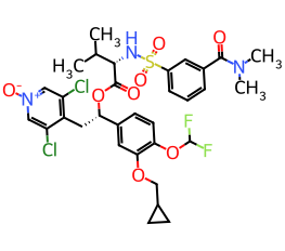 CC(C)[C@H](NS(=O)(=O)c1cccc(C(=O)N(C)C)c1)C(=O)O[C@@H](Cc1c(Cl)c[n+]([O-])cc1Cl)c1ccc(OC(F)F)c(OCC2CC2)c1